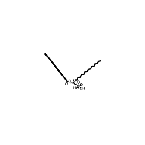 C#CC#CC#CC#CC#CC#CC#CC(=O)OC[C@H](COP(=O)(O)O)OC(=O)CCCCCCCCCCCCCC